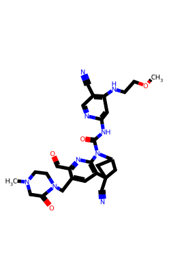 COCCNc1cc(NC(=O)N2c3nc(C=O)c(CN4CCN(C)CC4=O)cc3C3(C#N)CC2C3)ncc1C#N